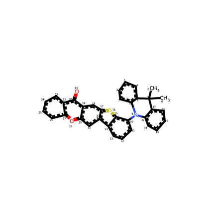 CC1(C)c2ccccc2N(c2cccc3c2sc2cc4c(=O)c5ccccc5oc4cc23)c2ccccc21